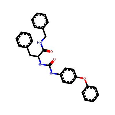 O=C(Nc1ccc(Oc2ccccc2)cc1)NC(Cc1ccccc1)C(=O)NCc1ccccc1